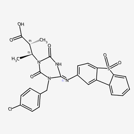 C[C@@H](C(=O)O)[C@H](C)n1c(=O)[nH]/c(=N\c2ccc3c(c2)-c2ccccc2S3(=O)=O)n(Cc2ccc(Cl)cc2)c1=O